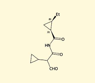 CC[C@@H]1C[C@@H]1C(=O)NC(=O)C(C=O)C1CC1